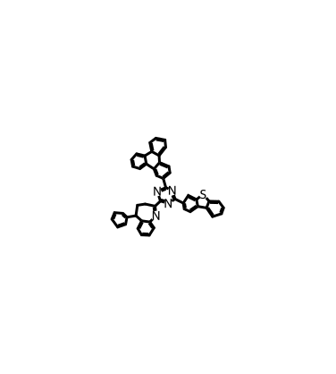 c1ccc(C2CCC(c3nc(-c4ccc5c(c4)sc4ccccc45)nc(-c4ccc5c6ccccc6c6ccccc6c5c4)n3)=Nc3ccccc32)cc1